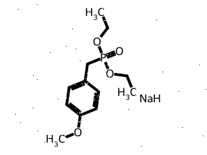 CCOP(=O)(Cc1ccc(OC)cc1)OCC.[NaH]